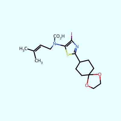 CC(C)=CCN(C(=O)O)c1sc(C2CCC3(CC2)OCCO3)nc1I